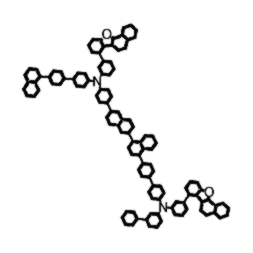 c1ccc(-c2cccc(N(c3ccc(-c4ccc(-c5ccc(-c6ccc7cc(-c8ccc(N(c9ccc(-c%10ccc(-c%11cccc%12ccccc%11%12)cc%10)cc9)c9cccc(-c%10cccc%11oc%12c%13ccccc%13ccc%12c%10%11)c9)cc8)ccc7c6)c6ccccc56)cc4)cc3)c3cccc(-c4cccc5oc6c7ccccc7ccc6c45)c3)c2)cc1